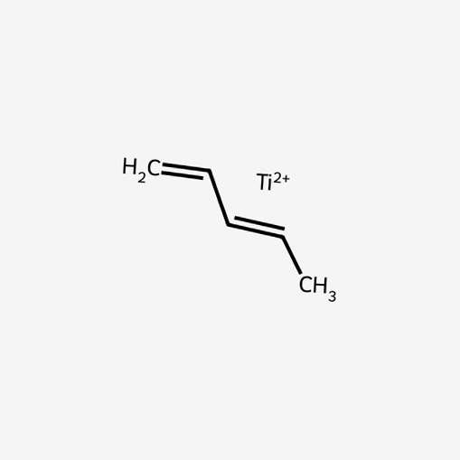 C=CC=CC.[Ti+2]